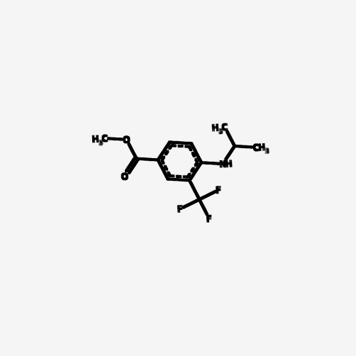 COC(=O)c1ccc(NC(C)C)c(C(F)(F)F)c1